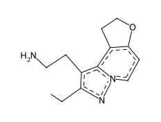 CCc1nn2ccc3c(c2c1CCN)CCO3